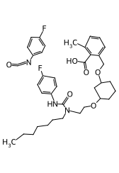 CCCCCCCN(CCOC1CCCC(OCc2cccc(C)c2C(=O)O)C1)C(=O)Nc1ccc(F)cc1.O=C=Nc1ccc(F)cc1